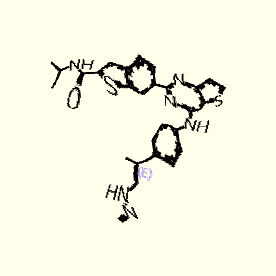 C=NN/C=C(\C)c1ccc(Nc2nc(-c3ccc4cc(C(=O)NC(C)C)sc4c3)nc3ccsc23)cc1